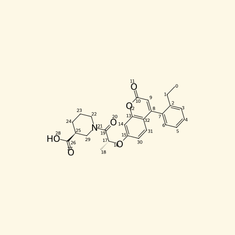 CCc1ccccc1-c1cc(=O)oc2cc(O[C@H](C)C(=O)N3CCC[C@H](C(=O)O)C3)ccc12